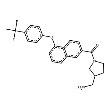 CC(F)(F)c1ccc(Oc2cccc3cc(C(=O)N4CCC(CN)C4)ccc23)cc1